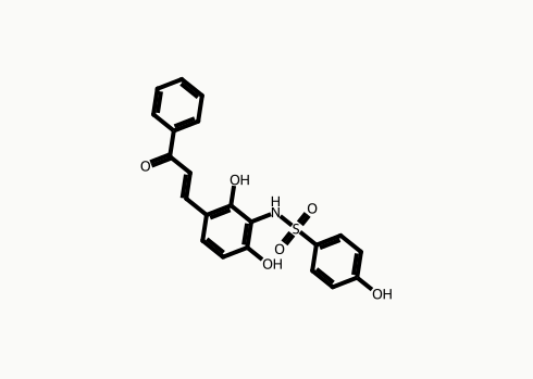 O=C(C=Cc1ccc(O)c(NS(=O)(=O)c2ccc(O)cc2)c1O)c1ccccc1